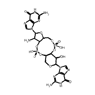 Nc1nc2c(ncn2C2OC3COP(=O)(O)OC4C(COC(n5cnc6c(=O)[nH]c(N)nc65)C4O)OP(=O)(O)OC3C2N)c(=O)[nH]1